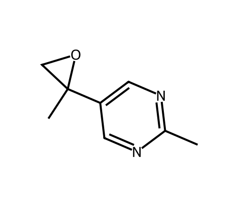 Cc1ncc(C2(C)CO2)cn1